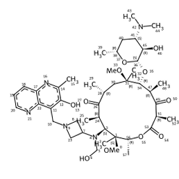 CO[C@@]1(C)[C@@H](N(CO)C2CN(Cc3c(O)c(C)nc4cccnc34)C2)[C@@H](C)C(=O)[C@H](C)C[C@@](C)(OC)[C@H](O[C@@H]2O[C@H](C)C[C@H](N(C)C)[C@H]2O)[C@@H](C)C(=O)[C@@H](C)C(=O)O[C@@H]1I